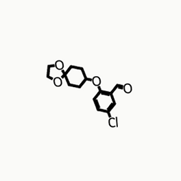 O=Cc1cc(Cl)ccc1OC1CCC2(CC1)OCCO2